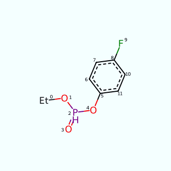 CCO[PH](=O)Oc1ccc(F)cc1